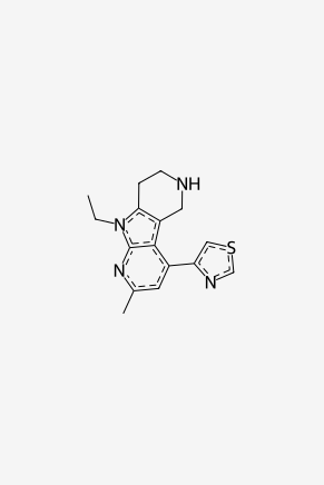 CCn1c2c(c3c(-c4cscn4)cc(C)nc31)CNCC2